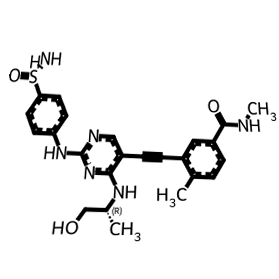 CNC(=O)c1ccc(C)c(C#Cc2cnc(Nc3ccc([SH](=N)=O)cc3)nc2N[C@H](C)CO)c1